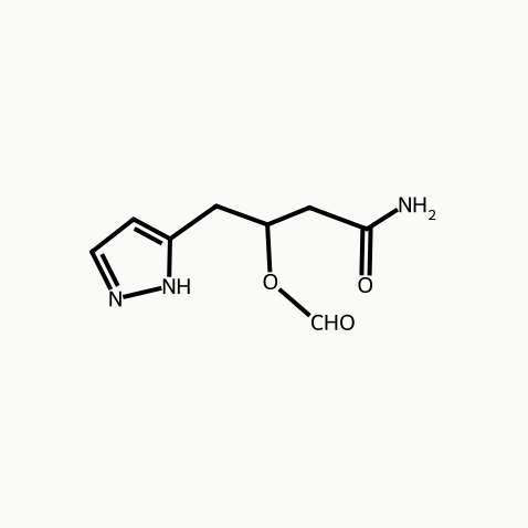 NC(=O)CC(Cc1ccn[nH]1)OC=O